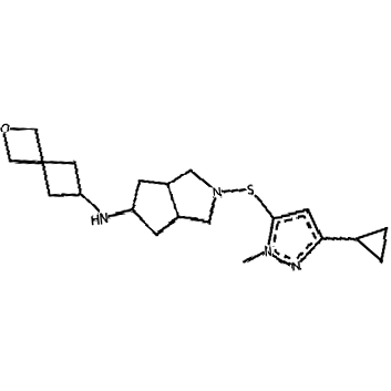 Cn1nc(C2CC2)cc1SN1CC2CC(NC3CC4(COC4)C3)CC2C1